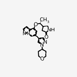 C[C@@H](Oc1cc(-c2cnn(C3CCOCC3)c2)cn2nccc12)C1CNC(=O)C1